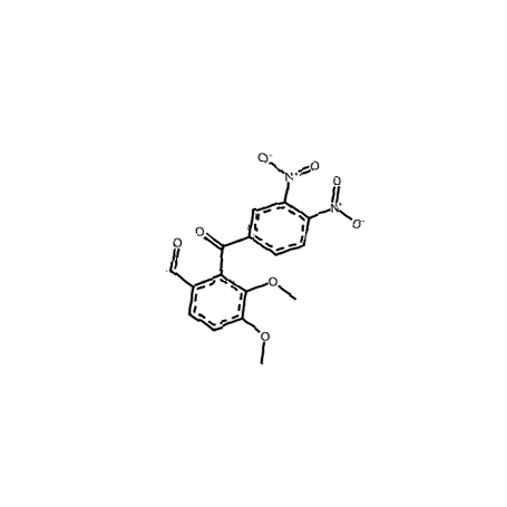 COc1ccc([C]=O)c(C(=O)c2ccc([N+](=O)[O-])c([N+](=O)[O-])c2)c1OC